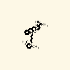 C[C@@H]1CCC[C@H](C)N1CCCCCN1C(=O)C(Cc2nccc(C(=N)N)n2)Cc2ccccc21